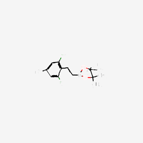 CCCc1cc(F)c(CCB2OC(C)(C)C(C)(C)O2)c(F)c1